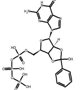 Nc1nc2c(ncn2[C@@H]2O[C@H](COP(=O)(O)OP(=O)(O)OP(=O)(O)O)C3OC(O)(c4ccccc4)O[C@@H]32)c(=O)[nH]1